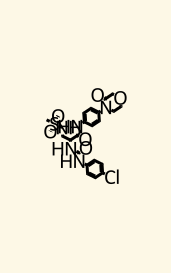 CS(=O)(=O)NCC(NC(=O)Nc1ccc(Cl)cc1)C(=O)Nc1ccc(N2CCOCC2=O)cc1